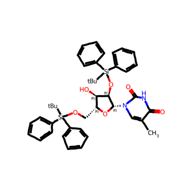 Cc1cn([C@@H]2O[C@H](CO[Si](c3ccccc3)(c3ccccc3)C(C)(C)C)[C@@H](O)[C@H]2O[Si](c2ccccc2)(c2ccccc2)C(C)(C)C)c(=O)[nH]c1=O